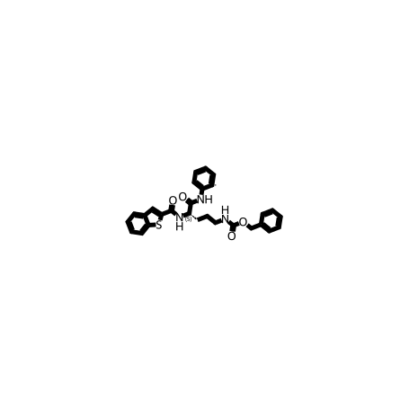 O=C(NCCC[C@H](NC(=O)c1cc2ccccc2s1)C(=O)Nc1[c]cccc1)OCc1ccccc1